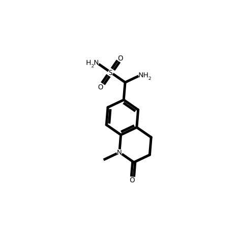 CN1C(=O)CCc2cc(C(N)S(N)(=O)=O)ccc21